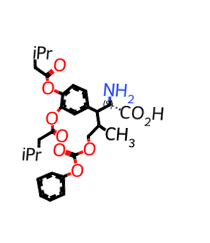 CC(C)CC(=O)Oc1ccc(C(C(C)COC(=O)Oc2ccccc2)[C@H](N)C(=O)O)cc1OC(=O)CC(C)C